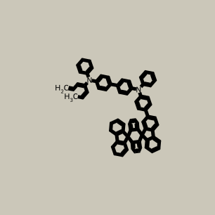 C=C/C=C(\C=C/C)N(C1=CCCC=C1)c1ccc(-c2ccc(N(c3ccccc3)c3ccc(-c4ccc5c(c4)C4(c6ccccc6-5)c5ccccc5C5(C6=C(CCC=C6)C6=C5C=CCC6)c5ccccc54)cc3)cc2)cc1